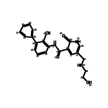 N#Cc1c(NC(=O)c2cc(CNCCO)c[nH]c2=O)cccc1-c1ccccc1